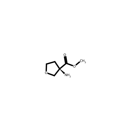 COC(=O)[C@@]1(N)CCOC1